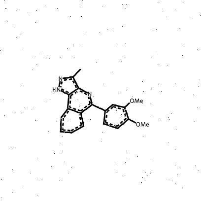 COc1ccc(-c2nc3c(C)n[nH]c3c3ccccc23)cc1OC